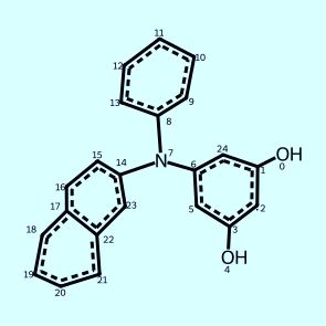 Oc1[c]c(O)cc(N(c2ccccc2)c2ccc3ccccc3c2)c1